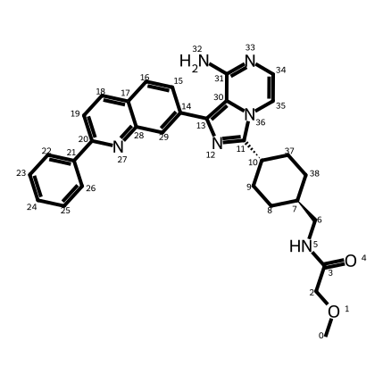 COCC(=O)NC[C@H]1CC[C@H](c2nc(-c3ccc4ccc(-c5ccccc5)nc4c3)c3c(N)nccn32)CC1